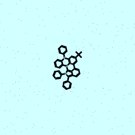 CC(C)(C)c1cc2c3c(c1)N(c1ccccc1)c1ccccc1B3c1c3c-2cccc3c(-c2ccccc2)n1-c1ccccc1